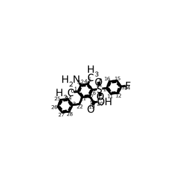 Cc1c(N)c(C)c(S(=O)(=O)c2ccc(F)cc2)c(C(=O)O)c1Cc1ccccc1